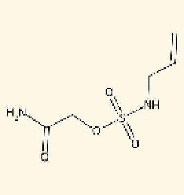 C=CCNS(=O)(=O)OCC(N)=O